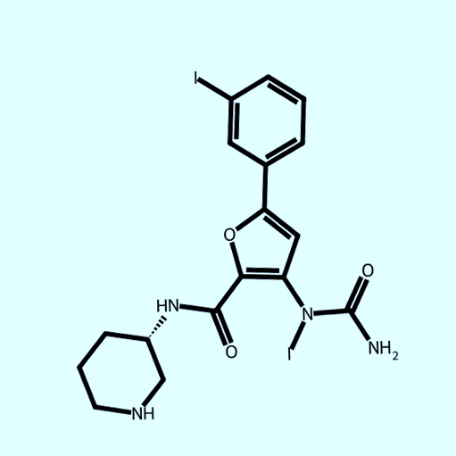 NC(=O)N(I)c1cc(-c2cccc(I)c2)oc1C(=O)N[C@H]1CCCNC1